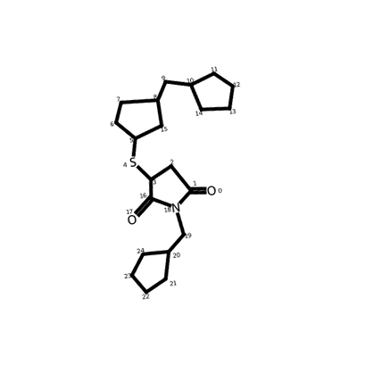 O=C1CC(SC2CCC(CC3CCCC3)C2)C(=O)N1CC1CCCC1